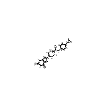 O=C(Cc1ccc(C2CC2)cc1)N1CCN(c2nc3c(F)cc(F)cc3s2)CC1